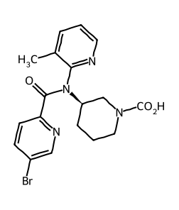 Cc1cccnc1N(C(=O)c1ccc(Br)cn1)[C@@H]1CCCN(C(=O)O)C1